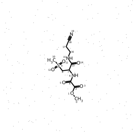 COC(=O)C(=O)NC(CS(C)(=O)=O)C(=O)NCCC#N